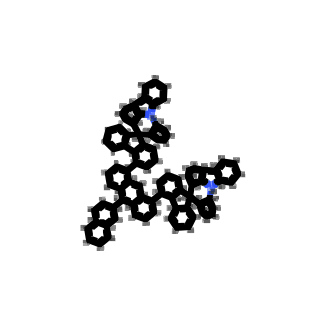 c1ccc2c(c1)-c1c(-c3cccc4c(-c5ccc6ccccc6c5)c5cccc(-c6cccc7c6-c6ccccc6C76c7ccccc7-n7c8ccccc8c8cccc6c87)c5cc34)cccc1C21c2ccccc2-n2c3ccccc3c3cccc1c32